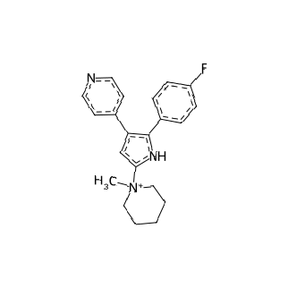 C[N+]1(c2cc(-c3ccncc3)c(-c3ccc(F)cc3)[nH]2)CCCCC1